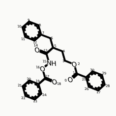 O=C(OCCC(Cc1ccccc1)C(=O)NOC(=O)c1ccccc1)c1ccccc1